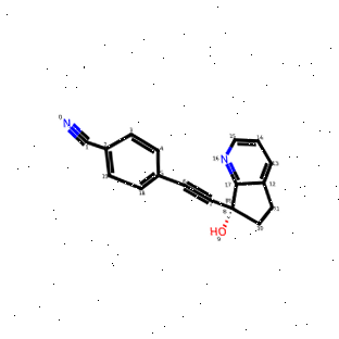 N#Cc1[c]cc(C#C[C@]2(O)CCc3cccnc32)cc1